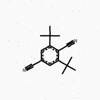 CC(C)(C)c1cc(C#N)cc(C(C)(C)C)c1C#N